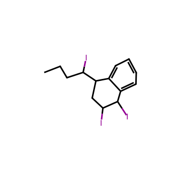 CCCC(I)C1CC(I)C(I)c2ccccc21